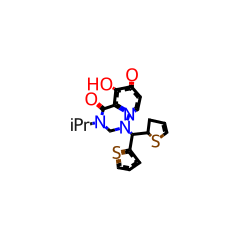 CC(C)N1CN(C(c2cccs2)C2CC=CS2)n2ccc(=O)c(O)c2C1=O